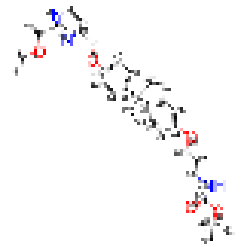 C=C(OCC)c1nccc(COc2ccc(C(CC)(CC)c3ccc(OCCCNC(=O)OC(C)(C)C)cc3)cc2)n1